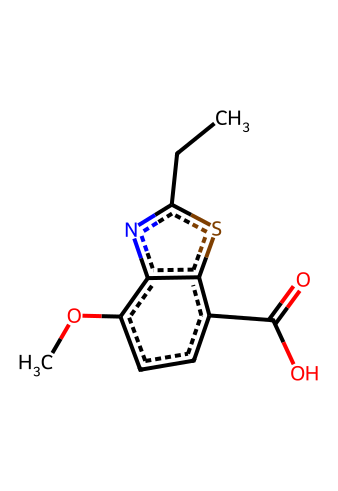 CCc1nc2c(OC)ccc(C(=O)O)c2s1